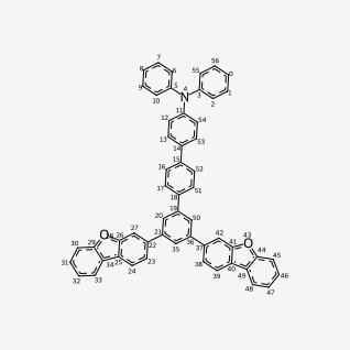 c1ccc(N(c2ccccc2)c2ccc(-c3ccc(-c4cc(-c5ccc6c(c5)oc5ccccc56)cc(-c5ccc6c(c5)oc5ccccc56)c4)cc3)cc2)cc1